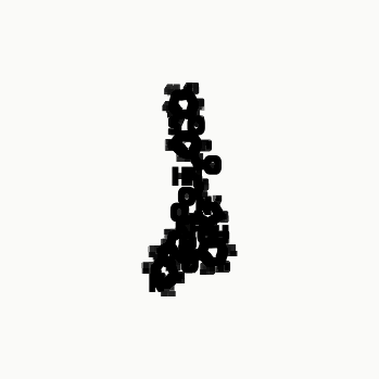 O=C(NCC(=O)N1CC[C@@H](O)[C@H]1C(=O)NCc1cc2cnccc2n1S(=O)(=O)c1ccccc1)c1ccc2c(c1)Oc1ccccc1S2